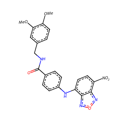 COc1ccc(CNC(=O)c2ccc(Nc3ccc([N+](=O)[O-])c4nonc34)cc2)cc1OC